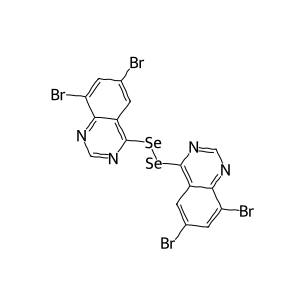 Brc1cc(Br)c2ncnc([Se][Se]c3ncnc4c(Br)cc(Br)cc34)c2c1